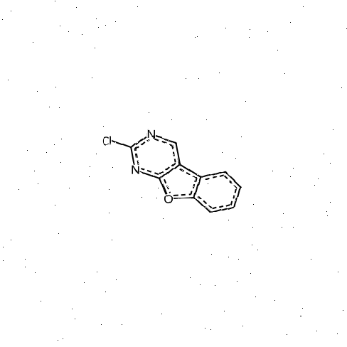 Clc1ncc2c(n1)oc1ccccc12